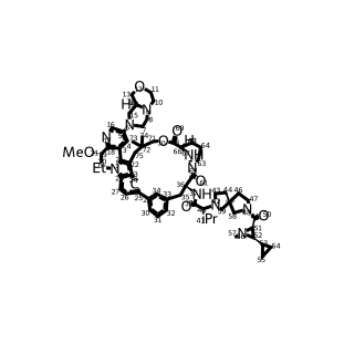 CCn1c(-c2cc(N3CCN4CCOC[C@@H]4C3)cnc2[C@H](C)OC)c2c3cc(ccc31)-c1cccc(c1)C[C@H](NC(=O)[C@H](C(C)C)N1CC[C@]3(CCN(C(=O)[C@H]4[C@@H](C5CC5)N4C)C3)C1)C(=O)N1CCC[C@H](N1)C(=O)OCC(C)(C)C2